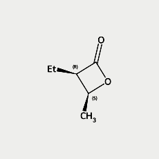 CC[C@H]1C(=O)O[C@H]1C